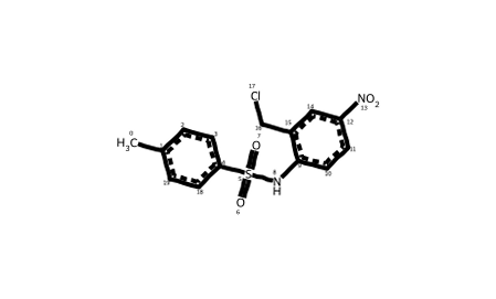 Cc1ccc(S(=O)(=O)Nc2ccc([N+](=O)[O-])cc2CCl)cc1